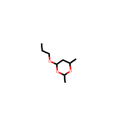 CCCOC1CC(C)OC(C)O1